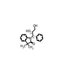 CC1(C)C(=O)N([C@@H](c2ccccc2)[C@H](O)CO)c2ccccc21